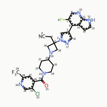 N#CCC1(n2cc(-c3c(F)cnc4[nH]ccc34)cn2)CN(C2CCN(C(=O)c3cc(C(F)(F)F)ncc3Cl)CC2)C1